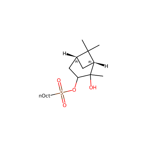 CCCCCCCCS(=O)(=O)OC1C[C@H]2C[C@@H](C1(C)O)C2(C)C